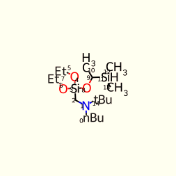 CCCCN(C[Si](OCC)(OCC)OC(C)[SiH](C)C)C(C)(C)C